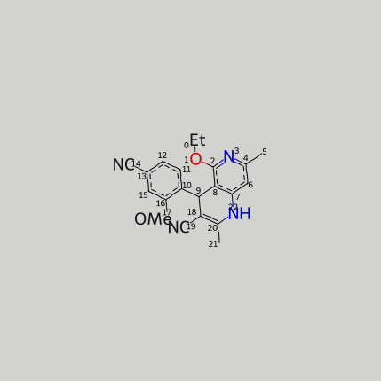 CCOc1nc(C)cc2c1C(c1ccc(C#N)cc1OC)C(C#N)=C(C)N2